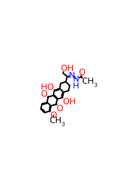 COc1cccc2c1C(=O)c1c(O)c3c(c(O)c1C2=O)CC(/C(CO)=N\NC(C)=O)CC3